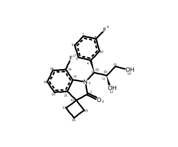 O=C1N([C@@H](c2cccc(F)c2)[C@H](O)CO)c2c(F)cccc2C12CCC2